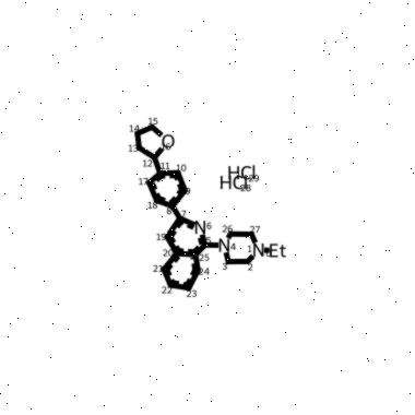 CCN1CCN(c2nc(-c3ccc(C4CCCO4)cc3)cc3ccccc23)CC1.Cl.Cl